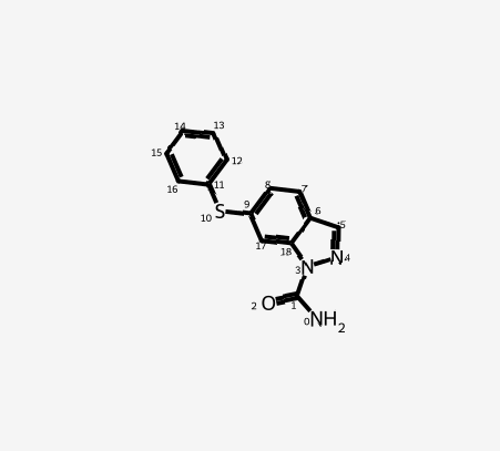 NC(=O)n1n[c]c2ccc(Sc3ccccc3)cc21